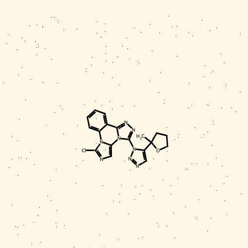 CC1(c2cnnn2-c2nnc3c4ccccc4n4c(Cl)ncc4n23)CCCO1